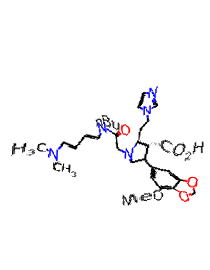 CCCCN(CCCCN(C)C)C(=O)CN1C[C@H](c2cc(OC)c3c(c2)OCO3)[C@@H](C(=O)O)[C@@H]1CCn1ccnc1